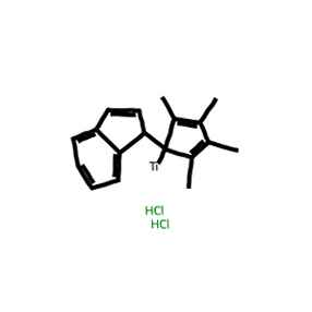 CC1=C(C)[C]([Ti])(C2C=Cc3ccccc32)C(C)=C1C.Cl.Cl